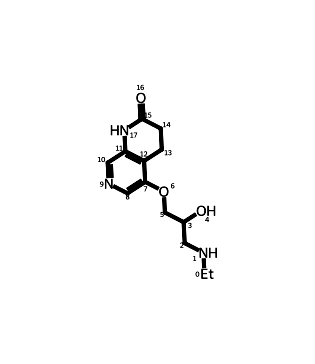 CCNCC(O)COc1cncc2c1CCC(=O)N2